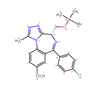 Cc1nnc2n1-c1ccc(C(=O)O)cc1C(c1ccc(Cl)cc1)=N[C@H]2CO[Si](C)(C)C(C)(C)C